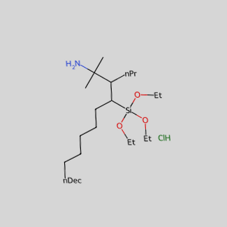 CCCCCCCCCCCCCCCC(C(CCC)C(C)(C)N)[Si](OCC)(OCC)OCC.Cl